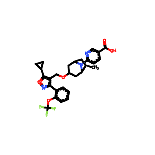 C[C@@H]1CC2CC(OCc3c(-c4ccccc4OC(F)(F)F)noc3C3CC3)CC1N2c1ccc(C(=O)O)cn1